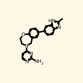 Cc1nc2ccc(-c3ccc4c(c3)CN(c3ccnc(N)n3)CCO4)cc2[nH]1